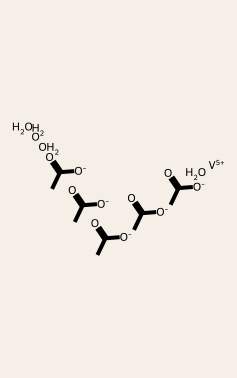 CC(=O)[O-].CC(=O)[O-].CC(=O)[O-].CC(=O)[O-].CC(=O)[O-].O.O.O.O.[V+5]